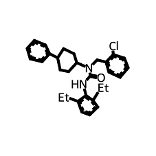 CCc1cccc(CC)c1NC(=O)N(Cc1ccccc1Cl)C1CCC(c2ccccc2)CC1